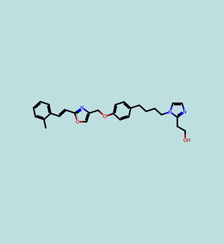 Cc1ccccc1C=Cc1nc(COc2ccc(CCCCn3ccnc3CCO)cc2)co1